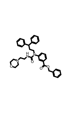 O=C(OCc1ccccc1)c1cccc(N(CCC(c2ccccc2)c2ccccc2)C(=O)NCCN2CCOCC2)c1